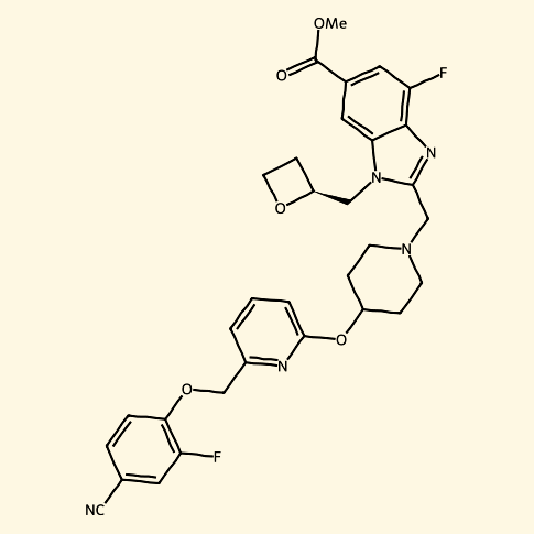 COC(=O)c1cc(F)c2nc(CN3CCC(Oc4cccc(COc5ccc(C#N)cc5F)n4)CC3)n(C[C@@H]3CCO3)c2c1